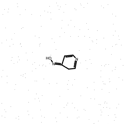 O/N=C1\C=CN=CC1